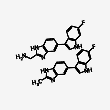 Cc1nc2cc(-c3c[nH]c4cc(F)ccc34)ccc2[nH]1.NCc1nc2cc(-c3c[nH]c4cc(F)ccc34)ccc2[nH]1